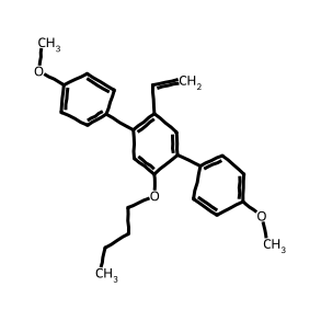 C=Cc1cc(-c2ccc(OC)cc2)c(OCCCC)cc1-c1ccc(OC)cc1